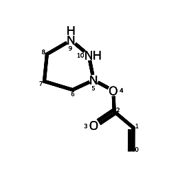 C=CC(=O)ON1CCCNN1